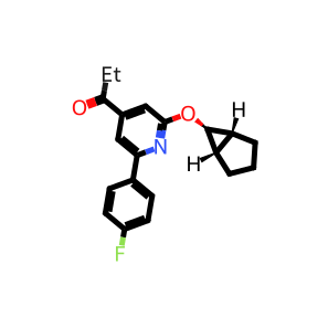 CCC(=O)c1cc(O[C@H]2[C@@H]3CCC[C@@H]32)nc(-c2ccc(F)cc2)c1